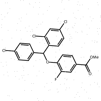 COC(=O)c1ccc(OC(c2ccc(Cl)cc2)c2ccc(Cl)cc2Cl)c(F)c1